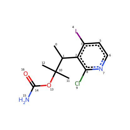 CC(c1c(I)ccnc1Cl)C(C)(C)OC(N)=O